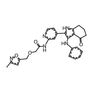 Cc1cc(COCC(=O)Nc2cc(-c3[nH]c4c(c3Nc3ccccc3)C(=O)CCC4)ccn2)on1